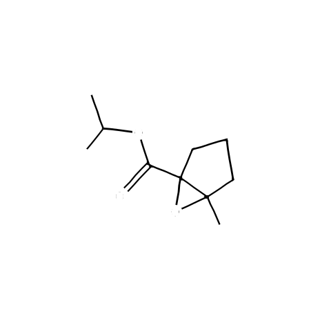 CC(C)OC(=O)C12CCCC1(C)O2